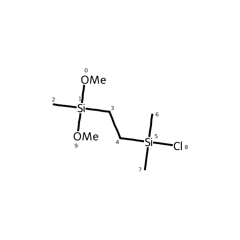 CO[Si](C)(CC[Si](C)(C)Cl)OC